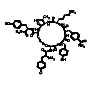 C[C@@H](O)[C@@H]1NC(=O)[C@H](CCCCN)NC(=O)[C@@H](Cc2ccc(C(N)=O)cc2)NC(=O)[C@H](Cc2ccc(O)cc2)NC(=O)[C@H](NC(=O)[C@@H](N)Cc2ccc(Cl)cc2)CSSC[C@@H](C(=O)N[C@H](Cc2ccc(O)cc2)C(N)=O)NC1=O